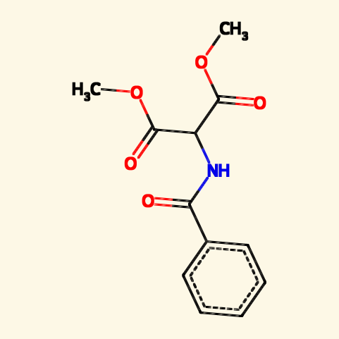 COC(=O)C(NC(=O)c1ccccc1)C(=O)OC